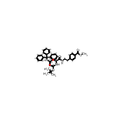 COC(=O)c1ccc(CCNC(=O)C(CC(=O)NC(c2ccccc2)(c2ccccc2)c2ccccc2)NC(=O)OC(C)(C)C)cc1